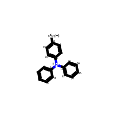 [SnH][c]1ccc(N(c2ccccc2)c2ccccc2)cc1